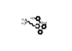 Cc1c(F)cccc1[C@H]1[C@@H](C(=O)c2cccc(O)c2)CN(CCCCN(C)C)C[C@@H]1c1cc[c]cc1F